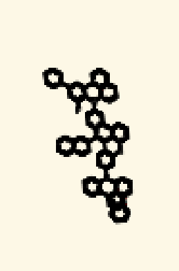 Fc1cc(-c2ccccc2)cc(-c2ccccc2)c1N(c1ccccc1)c1ccc2c(-c3ccc4ccccc4c3)c3c4c(cccc4c2c1)Sc1cc(N(c2ccccc2-c2ccccc2)c2cccc4c2oc2ccccc24)ccc1-3